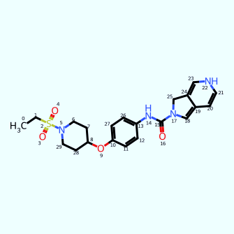 CCS(=O)(=O)N1CCC(Oc2ccc(NC(=O)N3C=C4C=CNC=C4C3)cc2)CC1